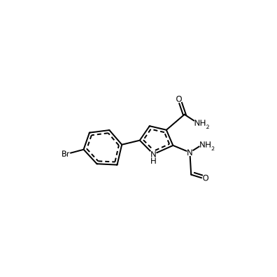 NC(=O)c1cc(-c2ccc(Br)cc2)[nH]c1N(N)C=O